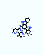 c1ccc2c(c1)[nH]c1c3nc4c5cccnc5c5cccnc5n4c3c3c4ccccc4[nH]c3c21